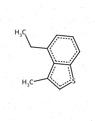 CCc1cccc2s[c]c(C)c12